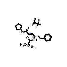 C[C@H](N)C(=O)N[C@H](/C=C/C(=O)NC1CCCC1)CCc1ccccc1.O=C(O)C(F)(F)F